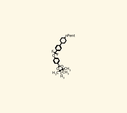 CCCCCC1CCC(c2ccc(C(F)(F)Oc3ccc(B4OC(C)(C)C(C)(C)O4)cc3)cc2)CC1